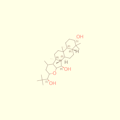 CC1CC([C@@H](O)C(C)(C)C)OC2C1[C@@]1(C)CCC34C[C@@]35CC[C@H](O)C(C)(C)[C@@H]5CC[C@H]4[C@]1(C)[C@H]2O